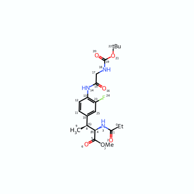 CCC(=O)N[C@@H](C(=O)OC)[C@@H](C)c1ccc(NC(=O)CNC(=O)OC(C)(C)C)c(F)c1